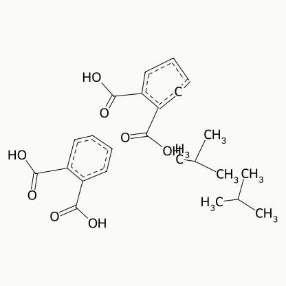 CC(C)C.CC(C)C.O=C(O)c1ccccc1C(=O)O.O=C(O)c1ccccc1C(=O)O